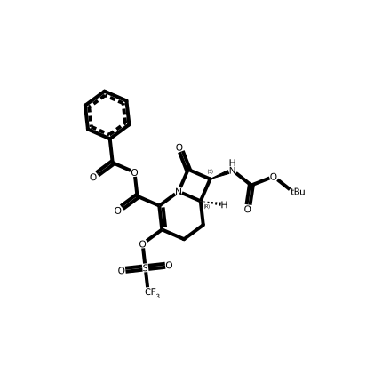 CC(C)(C)OC(=O)N[C@@H]1C(=O)N2C(C(=O)OC(=O)c3ccccc3)=C(OS(=O)(=O)C(F)(F)F)CC[C@H]12